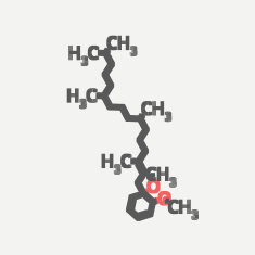 COC1C=CC=CC1(C/C=C(\C)CCCC(C)CCCC(C)CCCC(C)C)OC